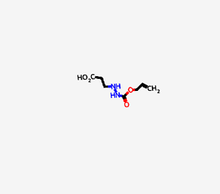 C=CCOC(=O)NNCCC(=O)O